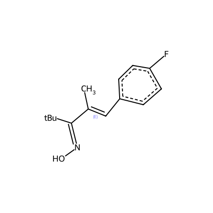 C/C(=C\c1ccc(F)cc1)C(=NO)C(C)(C)C